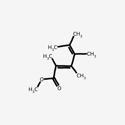 COC(=O)/C(C)=C(\C)C(C)=C(C)C